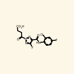 O=C(O)CCC(=O)n1nc(F)c(C(=O)Nc2ccc(F)cc2Cl)n1